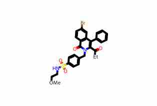 CCC(=O)c1c(-c2ccccc2)c2cc(Br)ccc2c(=O)n1Cc1ccc(S(=O)(=O)NCCOC)cc1